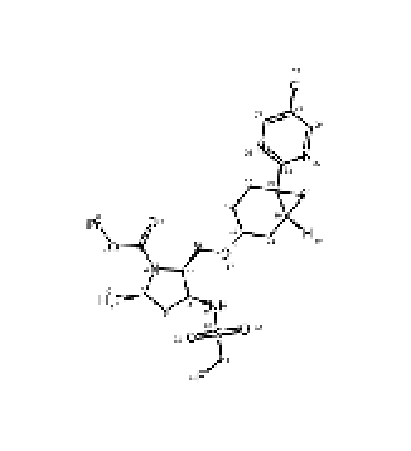 CC(C)OC(=O)N1[C@H](C)C[C@H](NS(=O)(=O)CF)[C@@H]1CO[C@@H]1CC[C@]2(c3ncc(Cl)cn3)C[C@@H]2C1